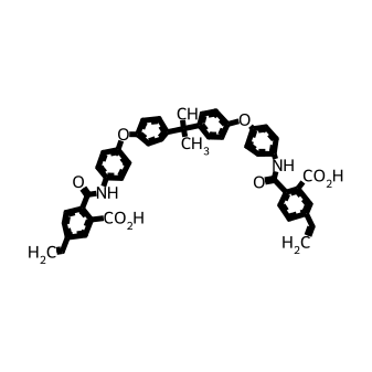 C=Cc1ccc(C(=O)Nc2ccc(Oc3ccc(C(C)(C)c4ccc(Oc5ccc(NC(=O)c6ccc(C=C)cc6C(=O)O)cc5)cc4)cc3)cc2)c(C(=O)O)c1